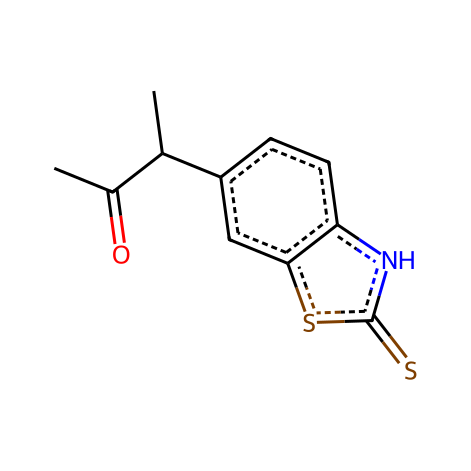 CC(=O)C(C)c1ccc2[nH]c(=S)sc2c1